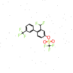 O=S(=O)(Oc1ccc(-c2cccc(C(F)(F)F)c2)c(C(F)F)c1)C(F)(F)F